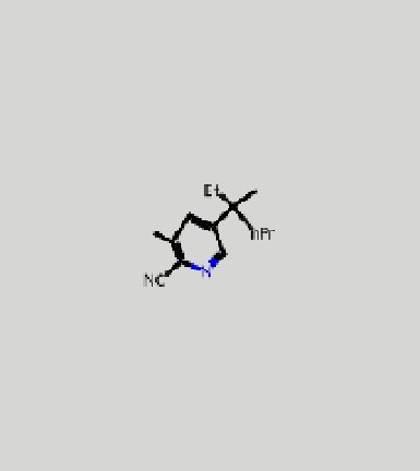 CCCC(C)(CC)c1cnc(C#N)c(C)c1